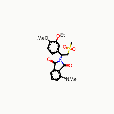 CCOc1cc(C(CS(C)(=O)=O)N2C(=O)c3cccc(NC)c3C2=O)ccc1OC